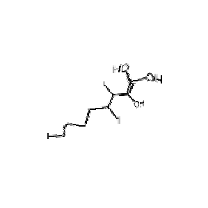 OC(O)=C(O)C(I)C(I)CCCCI